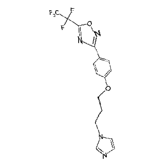 FC(F)(F)C(F)(F)c1nc(-c2ccc(OCCCn3ccnc3)cc2)no1